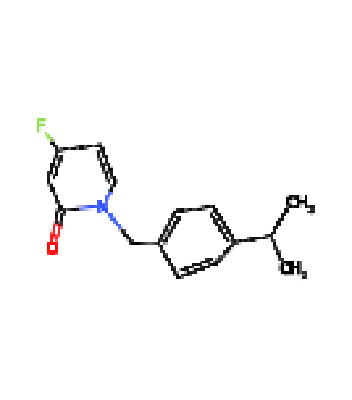 CC(C)c1ccc(Cn2ccc(F)cc2=O)cc1